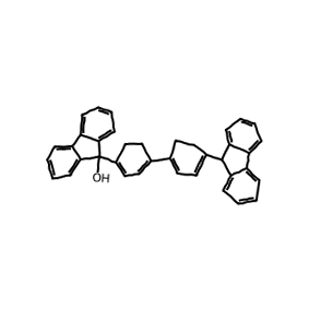 OC1(C2=CC=C(C3=CC=C(C4c5ccccc5-c5ccccc54)CC3)CC2)c2ccccc2-c2ccccc21